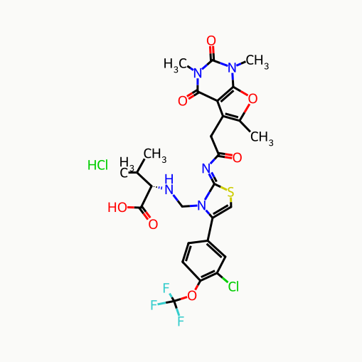 Cc1oc2c(c1CC(=O)N=c1scc(-c3ccc(OC(F)(F)F)c(Cl)c3)n1CN[C@H](C(=O)O)C(C)C)c(=O)n(C)c(=O)n2C.Cl